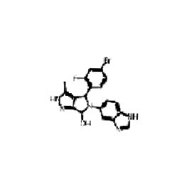 Cc1[nH]nc2c1C(c1ccc(Br)cc1F)N(c1ccc3[nH]cnc3c1)C2O